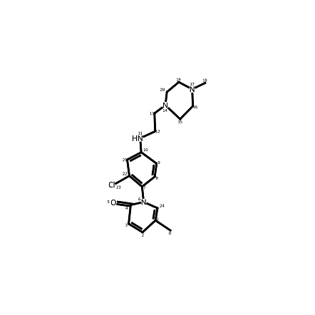 Cc1ccc(=O)n(-c2ccc(NCCN3CCN(C)CC3)cc2Cl)c1